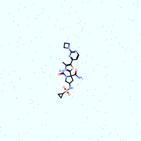 Cc1nc(C2(C(N)=O)CC(NS(=O)(=O)C3CC3)CN2C(N)=O)sc1-c1ccnc(N2CCC2)n1